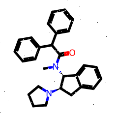 CN(C(=O)C(c1ccccc1)c1ccccc1)[C@@H]1c2ccccc2C[C@H]1N1CCCC1